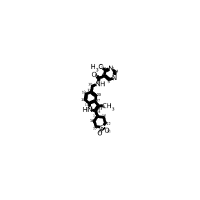 Cc1ncncc1C(=O)NCc1ccc2[nH]c(C3CCS(=O)(=O)CC3)c(C)c2c1